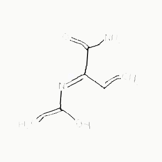 C=C/C(=N\C(=C)O)C(N)=O